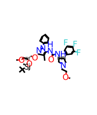 COCCN1C[C@@H](NC(=O)Nc2c(C)c(OC[C@@H](COC)O[Si](C)(C)C(C)(C)C)nn2-c2ccccc2)[C@H](c2cc(F)c(F)c(F)c2)C1